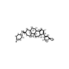 CN1CCN(/N=C2\CC[C@@]3(C)C(CCC4C5=CC=C(C6=CC(=O)OC6)[C@@]5(C)CC[C@@H]43)C2)CC1